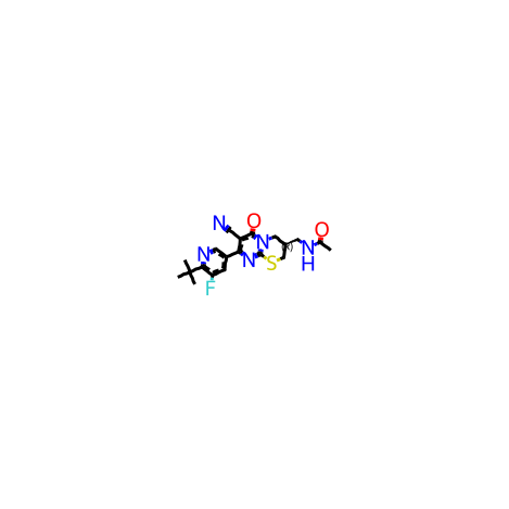 CC(=O)NC[C@H]1CSc2nc(-c3cnc(C(C)(C)C)c(F)c3)c(C#N)c(=O)n2C1